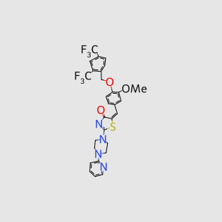 COc1cc(C=C2SC(N3CCN(c4ccccn4)CC3)=NC2=O)ccc1OCc1ccc(C(F)(F)F)cc1C(F)(F)F